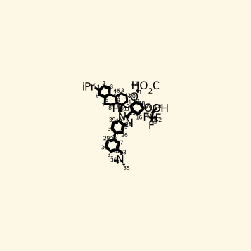 CC(C)c1ccc2c(c1)CC[C@H]1[C@@](C)(Cn3c(-c4cccc(OCC(=O)O)c4)nc4cc(-c5cccc(CN(C)C)c5)ccc43)CCC[C@]21C.O=C(O)C(F)(F)F